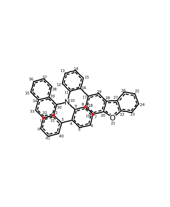 c1ccc(-c2ccccc2N(c2ccccc2-c2ccc3oc4ccccc4c3c2)c2cccc3ccccc23)cc1